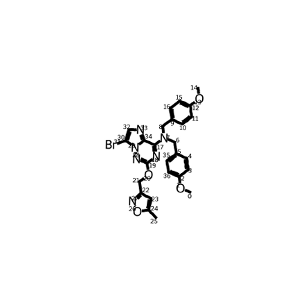 COc1ccc(CN(Cc2ccc(OC)cc2)c2nc(OCc3cc(C)on3)nn3c(Br)cnc23)cc1